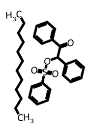 CCCCCCCCCCCC.O=C(c1ccccc1)C(OS(=O)(=O)c1ccccc1)c1ccccc1